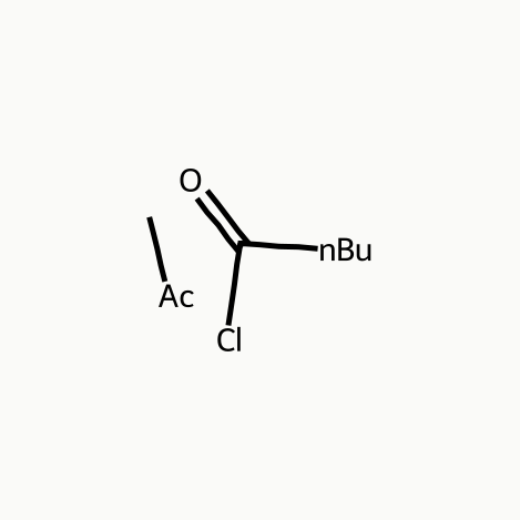 CC(C)=O.CCCCC(=O)Cl